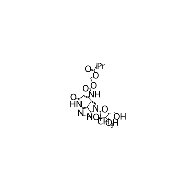 CC(C)C(=O)OCOC(=O)NC1=CC(=O)Nc2ncnc3c2c1cn3[C@@H]1O[C@H](CO)[C@@H](O)C1(C)O